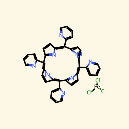 C1=Cc2nc1c(-c1ccccn1)c1ccc([nH]1)c(-c1ccccn1)c1nc(c(-c3ccccn3)c3ccc([nH]3)c2-c2ccccn2)C=C1.[Cl][Fe]([Cl])[Cl]